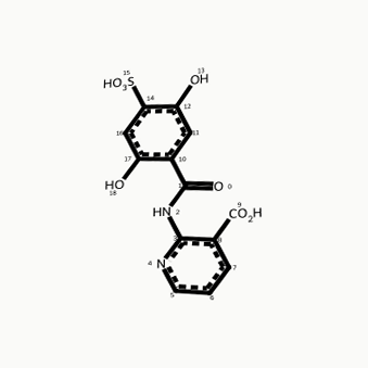 O=C(Nc1ncccc1C(=O)O)c1cc(O)c(S(=O)(=O)O)cc1O